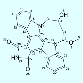 COC1CC(O)Cn2c3ccccc3c3c4c(c5c6ccccc6n1c5c32)C(=O)NC4=O